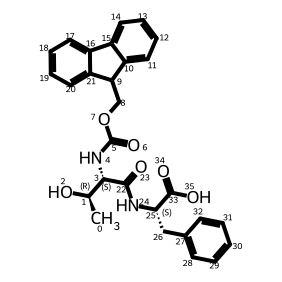 C[C@@H](O)[C@H](NC(=O)OCC1c2ccccc2-c2ccccc21)C(=O)N[C@@H](Cc1ccccc1)C(=O)O